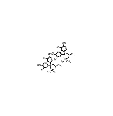 CC1CC(C)(C)CC(c2ccc(O)c(Br)c2)(c2ccc(O)c(Br)c2)C1.CC1CC(C)(C)CC(c2ccc(O)c(Cl)c2)(c2ccc(O)c(Cl)c2)C1